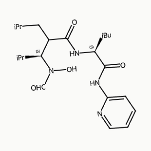 CCC(C)[C@H](NC(=O)C(CC(C)C)[C@H](C(C)C)N(O)C=O)C(=O)Nc1ccccn1